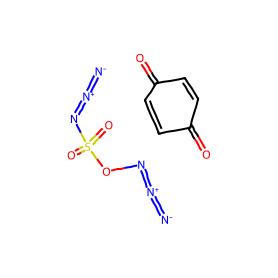 O=C1C=CC(=O)C=C1.[N-]=[N+]=NOS(=O)(=O)N=[N+]=[N-]